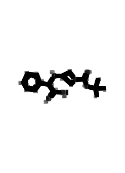 CC(C)(C)OC(=O)N1CC(OC(C(=O)O)c2ccccc2)C1